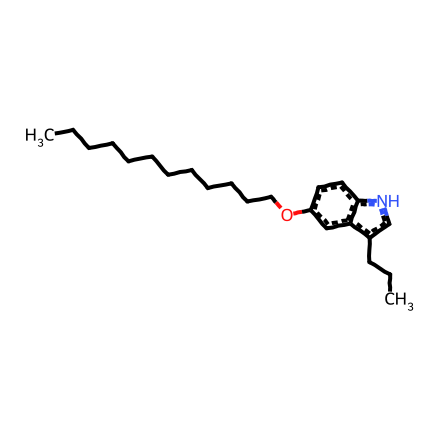 CCCCCCCCCCCCOc1ccc2[nH]cc(CCC)c2c1